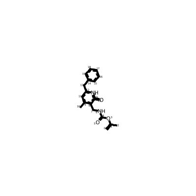 C=C(C)OC(=O)NCc1c(C)cc(Cc2ccccc2)[nH]c1=O